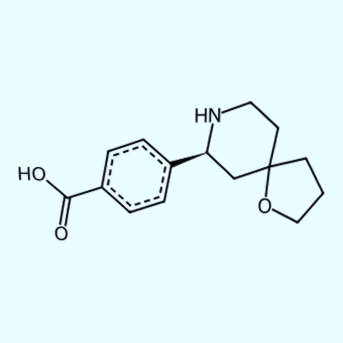 O=C(O)c1ccc([C@@H]2CC3(CCCO3)CCN2)cc1